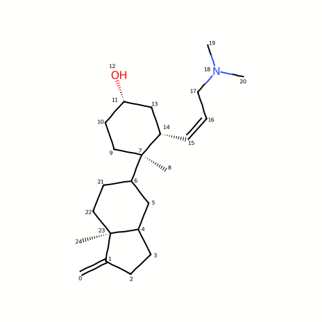 C=C1CCC2CC([C@@]3(C)CC[C@H](O)C[C@@H]3/C=C\CN(C)C)CC[C@]12C